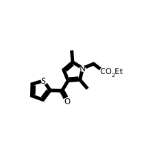 CCOC(=O)Cn1c(C)cc(C(=O)c2cccs2)c1C